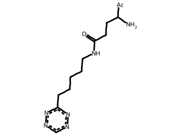 CC(=O)C(N)CCC(=O)NCCCCCc1nncnn1